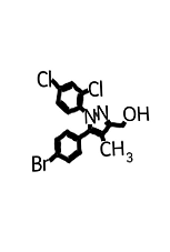 Cc1c(CO)nn(-c2ccc(Cl)cc2Cl)c1-c1ccc(Br)cc1